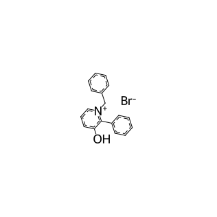 Oc1ccc[n+](Cc2ccccc2)c1-c1ccccc1.[Br-]